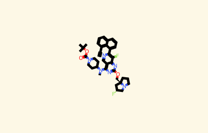 C#Cc1cccc2cccc(-c3ncc4c(N(C)C5CCN(C(=O)OC(C)(C)C)CC5)nc(OC[C@@]56CCCN5C[C@H](F)C6)nc4c3F)c12